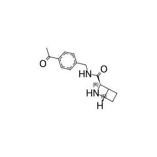 CC(=O)c1ccc(CNC(=O)[C@@H]2N[C@H]3CCC32)cc1